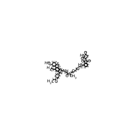 C=CC(=O)N1CCN(c2nc(NCCC(=O)N(C)CCOCCOCCNc3cccc4c3C(=O)N(C3CCC(=O)NC3=O)C4=O)nc3c(F)c(C4=C(F)C=C[C@@H](CO)[C@@H]4C)c(Cl)cc23)CC1